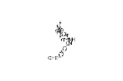 O=CCN1CCN(c2ccc(-c3cnc4[nH]cc(C(=O)c5c(F)ccc(NS(=O)(=O)N6CC[C@@H](F)C6)c5F)c4c3)cc2)CC1